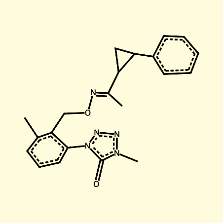 CC(=NOCc1c(C)cccc1-n1nnn(C)c1=O)C1CC1c1ccccc1